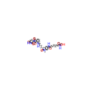 CN(C(=O)CCCCCNc1cccc2c1C(=O)N(C1CCC(=O)NC1=O)C2=O)c1ccc(NC(=O)CCCCCCC(=O)NO)cc1